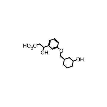 O=C(O)CC(O)c1cccc(OCC2CCCC(O)C2)c1